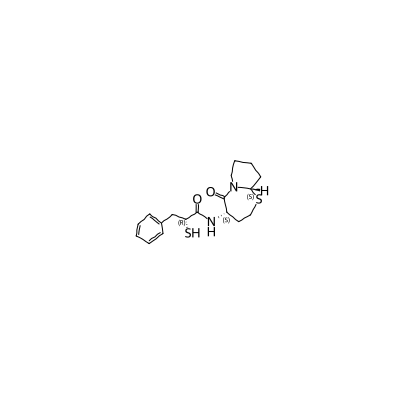 O=C(N[C@H]1CCS[C@H]2CCCCN2C1=O)[C@H](S)Cc1ccccc1